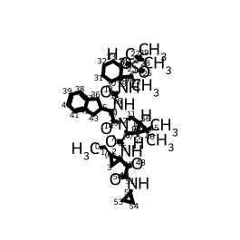 CC[C@@H]1CC1(NC(=O)[C@@H]1[C@@H]2[C@H](CN1C(=O)[C@@H](NC(=O)NC1([C@@H](C)S(=O)(=O)C(C)(C)C)CCCCC1)C1Cc3ccccc3C1)C2(C)C)C(=O)C(=O)NC1CC1